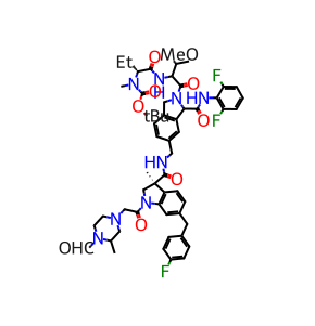 CC[C@@H](C(=O)NC(C(=O)N1Cc2ccc(CNC(=O)[C@]3(C)CN(C(=O)CN4CCN(C=O)C(C)C4)c4cc(Cc5ccc(F)cc5)ccc43)cc2C1C(=O)Nc1c(F)cccc1F)C(C)OC)N(C)C(=O)OC(C)(C)C